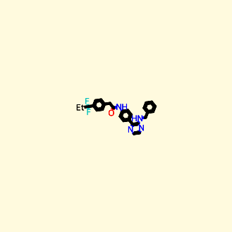 CCC(F)(F)c1ccc(CC(=O)Nc2ccc(-c3nccnc3NCc3ccccc3)cc2)cc1